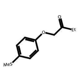 CCC(=O)COc1ccc(SC)cc1